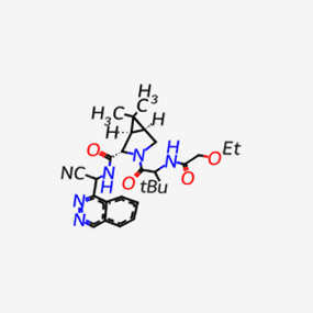 CCOCC(=O)NC(C(=O)N1C[C@H]2[C@@H]([C@H]1C(=O)NC(C#N)c1nncc3ccccc13)C2(C)C)C(C)(C)C